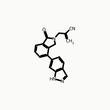 C=C(C#N)CN1Cc2c(cccc2-c2ccc3cn[nH]c3c2)C1=O